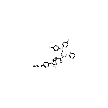 CC(=O)Nc1ccc(-c2nc(NC(=O)N(CCc3ccccn3)CCC(c3ccc(F)cc3)c3ccc(F)cc3)sc2Cl)cc1